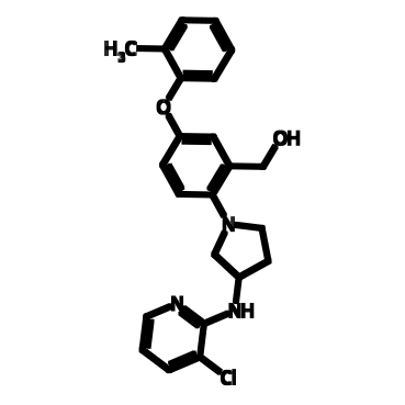 Cc1ccccc1Oc1ccc(N2CCC(Nc3ncccc3Cl)C2)c(CO)c1